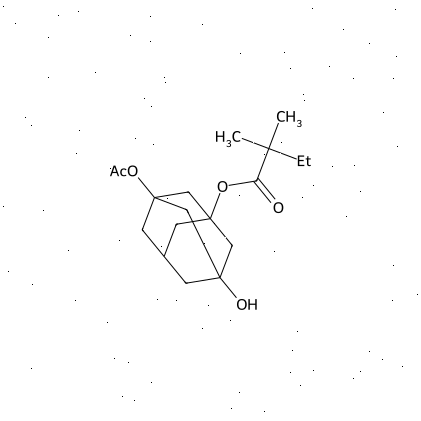 CCC(C)(C)C(=O)OC12CC3CC(O)(CC(OC(C)=O)(C3)C1)C2